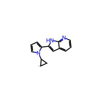 [CH]1CC1n1cccc1-c1cc2cccnc2[nH]1